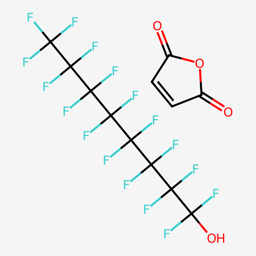 O=C1C=CC(=O)O1.OC(F)(F)C(F)(F)C(F)(F)C(F)(F)C(F)(F)C(F)(F)C(F)(F)C(F)(F)F